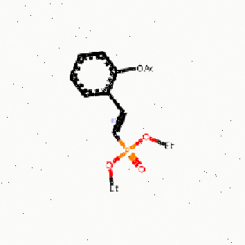 CCOP(=O)(/C=C/c1ccccc1OC(C)=O)OCC